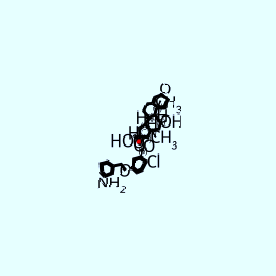 C[C@]12C=CC(=O)C=C1CC[C@@H]1[C@@H]2[C@@H](O)C[C@@]2(C)[C@H]1C[C@H]1O[C@H](c3cc(OCc4cccc(N)c4)ccc3Cl)O[C@]12C(=O)CO